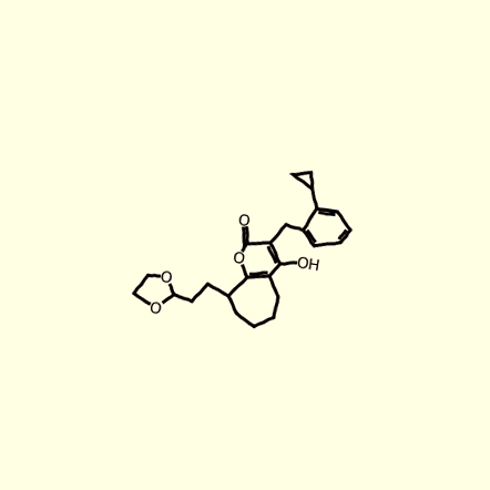 O=c1oc2c(c(O)c1Cc1ccccc1C1CC1)CCCCC2CCC1OCCO1